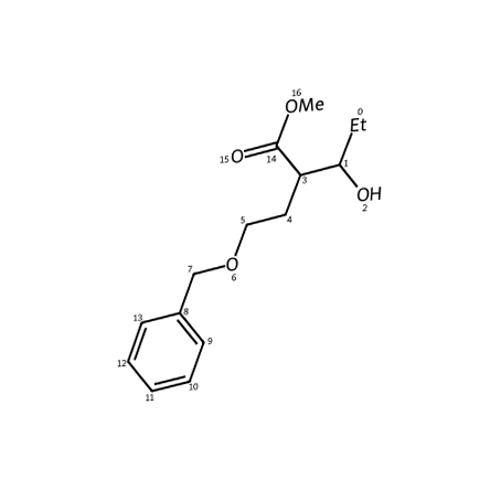 CCC(O)C(CCOCc1ccccc1)C(=O)OC